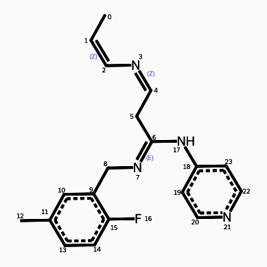 C/C=C\N=C/C/C(=N\Cc1cc(C)ccc1F)Nc1ccncc1